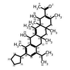 CC(=O)C1=C(C)CC2(C)CC3(C)Cc4c(C(C)C)cc(C5CCCC5)c(C)c4C(O)C3=C(C)C2(C)C1O